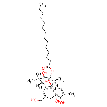 CCCCCCCCCCCCCC(=O)O[C@@H]1[C@@H](C)[C@@]2(O)[C@@H](C=C(CO)C[C@]3(O)C(O)C(C)=C[C@@H]23)[C@@H]2C(C)(C)[C@]12O